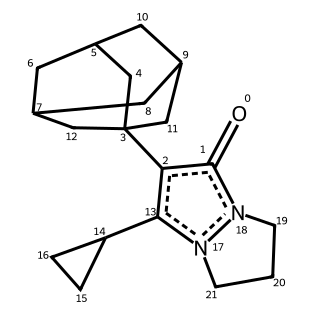 O=c1c(C23CC4CC(CC(C4)C2)C3)c(C2CC2)n2n1CCC2